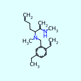 C=CCCC(C(=C)NC)N(C)Cc1cc(CC)ccc1C=C